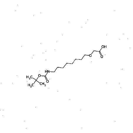 CC(C)(C)OC(=O)NCCCCCCCCOCC(=O)O